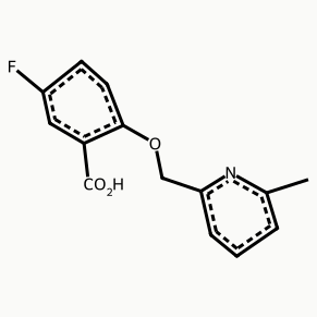 Cc1cccc(COc2ccc(F)cc2C(=O)O)n1